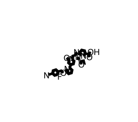 N#Cc1ccc(COc2cccc(-c3ccn(Cc4nc5ccc(C(=O)O)nc5n4C[C@@H]4CCO4)c(=O)c3)n2)c(F)c1